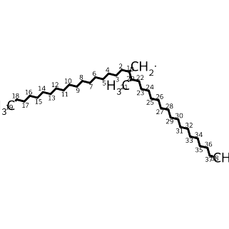 [CH2]C(CCCCCCCCCCCCCCCCCC)C(C)CCCCCCCCCCCCCCCCC